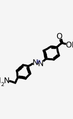 NCc1ccc(/N=N/c2ccc(C(=O)O)cc2)cc1